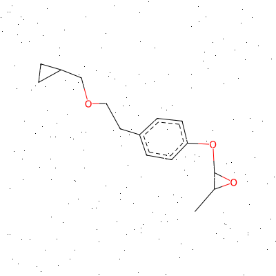 CC1OC1Oc1ccc(CCOCC2CC2)cc1